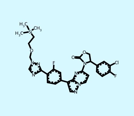 C[Si](C)(C)CCOCn1cnc(-c2ccc(-c3cnn4ccc(N5C(=O)OCC5c5ccc(F)c(Cl)c5)nc34)cc2F)n1